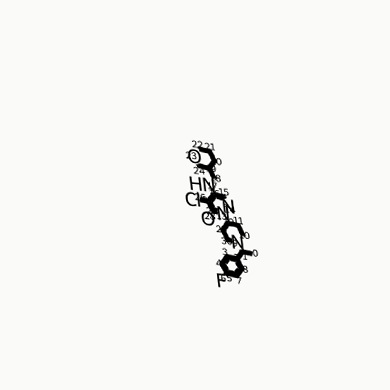 CC(c1ccc(F)cc1)N1CCC(n2ncc(NCC3CCCOC3)c(Cl)c2=O)CC1